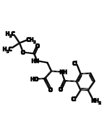 CC(C)(C)OC(=O)NCC(NC(=O)c1c(Cl)ccc(N)c1Cl)C(=O)O